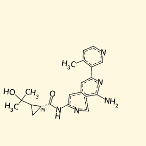 Cc1ccncc1-c1cc2cc(NC(=O)[C@@H]3CC3C(C)(C)O)ncc2c(N)n1